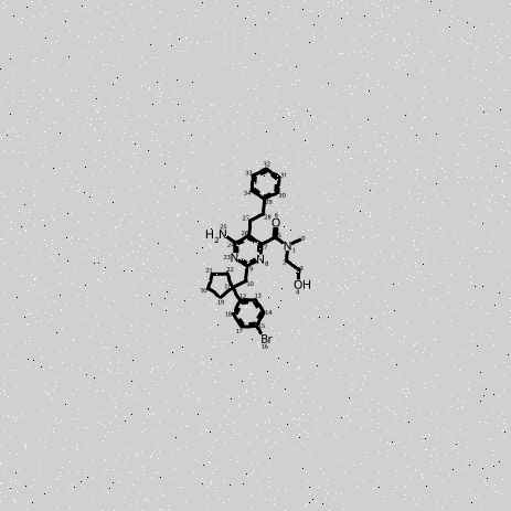 CN(CCO)C(=O)c1nc(CC2(c3ccc(Br)cc3)CCCC2)nc(N)c1CCc1ccccc1